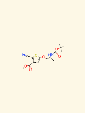 COC(=O)c1cc(OC[C@H](C)NC(=O)OC(C)(C)C)sc1C#N